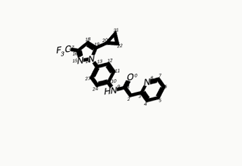 O=C(Cc1ccccn1)Nc1ccc(-n2nc(C(F)(F)F)cc2C2CC2)cc1